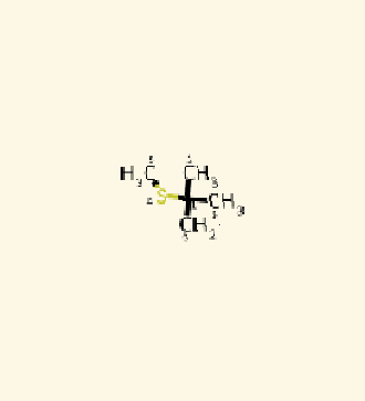 [CH2]C(C)(C)SC